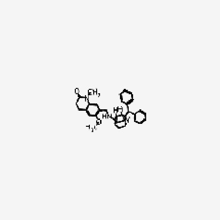 COc1cc2c(cc1CN[C@H]1C3CCN(CC3)[C@H]1C(c1ccccc1)c1ccccc1)N(C)C(=O)CC2